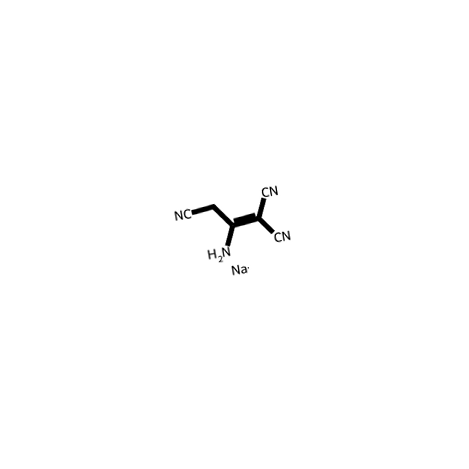 N#CCC(N)=C(C#N)C#N.[Na]